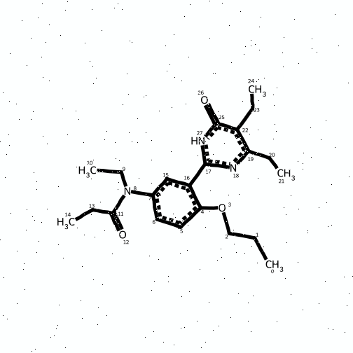 CCCOc1ccc(N(CC)C(=O)CC)cc1-c1nc(CC)c(CC)c(=O)[nH]1